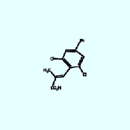 C/C(=C\c1c(Cl)cc(C(C)C)cc1Cl)C(=O)O